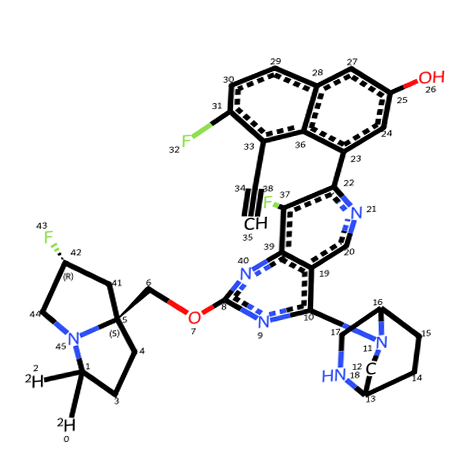 [2H]C1([2H])CC[C@@]2(COc3nc(N4CC5CCC4CN5)c4cnc(-c5cc(O)cc6ccc(F)c(C#C)c56)c(F)c4n3)C[C@@H](F)CN12